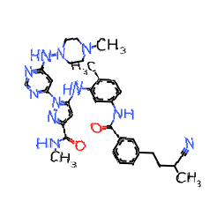 CNC(=O)c1cc(Nc2cc(NC(=O)c3cccc(CCC(C)C#N)c3)ccc2C)n(-c2cc(NN3CCN(C)CC3)ncn2)n1